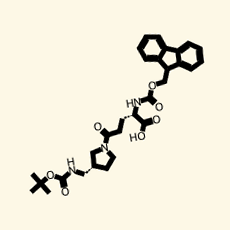 CC(C)(C)OC(=O)NC[C@H]1CCN(C(=O)CC[C@H](NC(=O)OCC2c3ccccc3-c3ccccc32)C(=O)O)C1